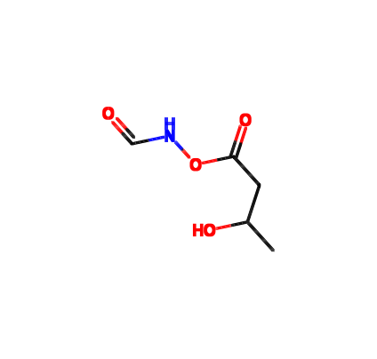 CC(O)CC(=O)ONC=O